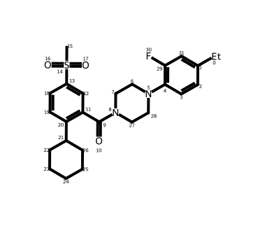 CCc1ccc(N2CCN(C(=O)c3cc(S(C)(=O)=O)ccc3C3CCCCC3)CC2)c(F)c1